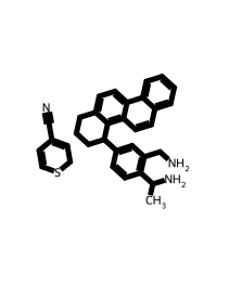 CC(N)c1ccc(C2CCCc3ccc4c(ccc5ccccc54)c32)cc1CN.N#CC1=CCSC=C1